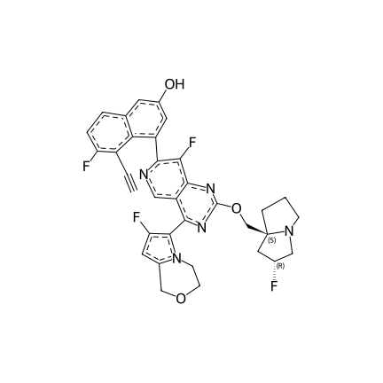 C#Cc1c(F)ccc2cc(O)cc(-c3ncc4c(-c5c(F)cc6n5CCOC6)nc(OC[C@@]56CCCN5C[C@H](F)C6)nc4c3F)c12